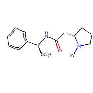 CC(C)N1CCC[C@H]1CC(=O)N[C@@H](C(=O)O)c1ccccc1